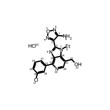 CCn1c(-c2nonc2N)nc2c(-c3cccc(Cl)c3)ncc(CO)c21.Cl